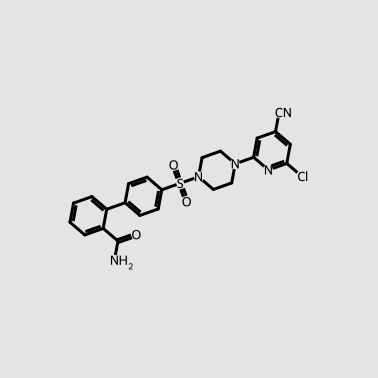 N#Cc1cc(Cl)nc(N2CCN(S(=O)(=O)c3ccc(-c4ccccc4C(N)=O)cc3)CC2)c1